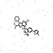 Cc1ccc(-c2ccc(Nc3cc(Cl)nc4c3nc(C(F)F)n4C3CCCCO3)c(S(C)(=O)=O)c2)o1